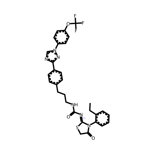 CCc1ccccc1N1C(=O)CS/C1=N\C(=O)NCCCc1ccc(-c2ncn(-c3ccc(OC(F)(F)F)cc3)n2)cc1